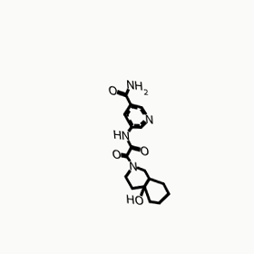 NC(=O)c1cncc(NC(=O)C(=O)N2CCC3(O)CCCCC3C2)c1